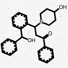 O=C(CC(c1ccccc1C(O)c1ccccc1)N1CCC(O)CC1)c1ccccc1